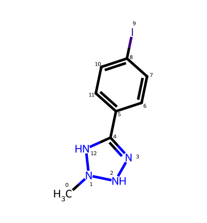 CN1NN=C(c2ccc(I)cc2)N1